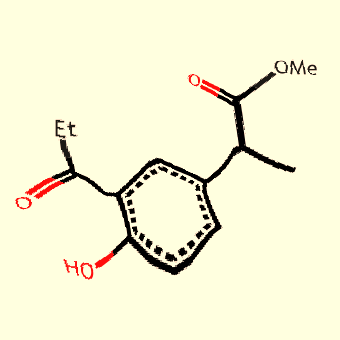 CCC(=O)c1cc(C(C)C(=O)OC)ccc1O